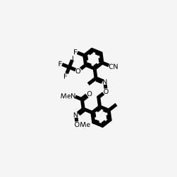 CNC(=O)/C(=N/OC)c1cccc(C)c1CO/N=C(\C)c1c(C#N)ccc(F)c1OC(F)(F)I